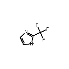 FC(F)(F)C1=NC=[C][N]1